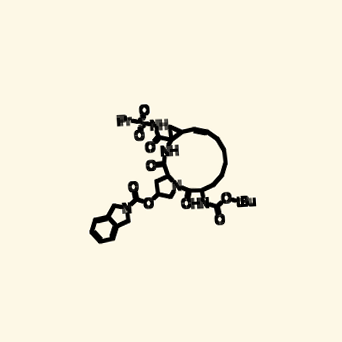 CC(C)S(=O)(=O)NC(=O)C12CC1C=CCCCCCC(NC(=O)OC(C)(C)C)C(=O)N1CC(OC(=O)N3Cc4ccccc4C3)CC1C(=O)N2